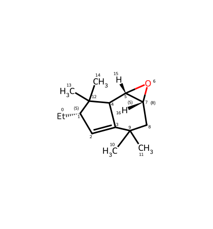 CC[C@H]1C=C2C([C@@H]3O[C@@H]3CC2(C)C)C1(C)C